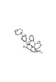 C/C=C1/C=C(F)C(c2cnc(N3CCOCC3)nc2)=CN1C1=C(N)CCOC1c1ccccc1Cl